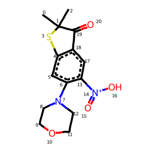 CC1(C)Sc2cc(N3CCOCC3)c([N+](=O)O)cc2C1=O